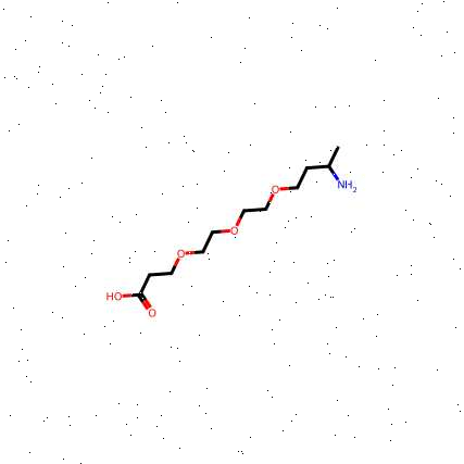 CC(N)CCOCCOCCOCCC(=O)O